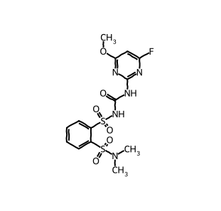 COc1cc(F)nc(NC(=O)NS(=O)(=O)c2ccccc2S(=O)(=O)N(C)C)n1